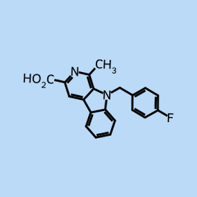 Cc1nc(C(=O)O)cc2c3ccccc3n(Cc3ccc(F)cc3)c12